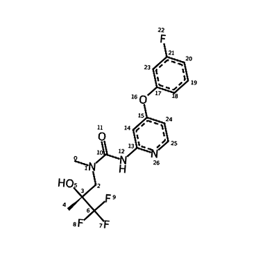 CN(C[C@@](C)(O)C(F)(F)F)C(=O)Nc1cc(Oc2cccc(F)c2)ccn1